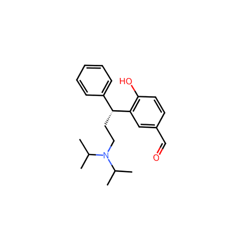 CC(C)N(CC[C@H](c1ccccc1)c1cc(C=O)ccc1O)C(C)C